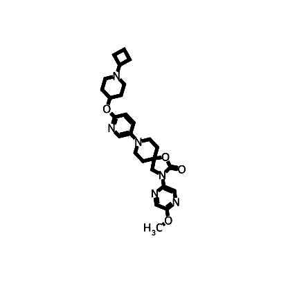 COc1cnc(N2CC3(CCN(c4ccc(OC5CCN(C6CCC6)CC5)nc4)CC3)OC2=O)cn1